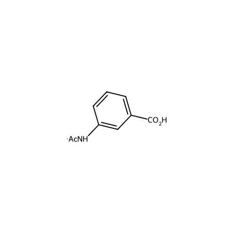 CC(=O)[N]c1cccc(C(=O)O)c1